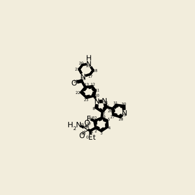 CCC(c1cccc(-c2cn(-c3ccc(C(=O)N4CCNCC4)cc3)nc2-c2ccncc2)c1F)S(N)(=O)=O